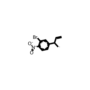 [CH2]C(C=C)c1ccc([N+](=O)[O-])c(Br)c1